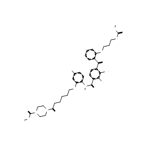 COc1c(C(=O)c2ccccc2OCCCNC(=O)OC(C)(C)C)ccc(C(=O)N(C)c2ccc(C)cc2OCCCCCC(=O)N2CCN(C(=O)OC(C)(C)C)CC2)c1N